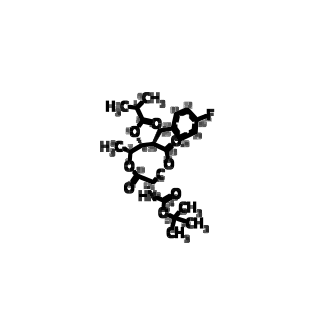 CC(C)C(=O)O[C@H]1[C@H](C)OC(=O)[C@@H](NC(=O)OC(C)(C)C)COC(=O)[C@@H]1Cc1ccc(F)cc1